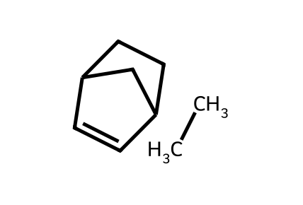 C1=CC2CCC1C2.CC